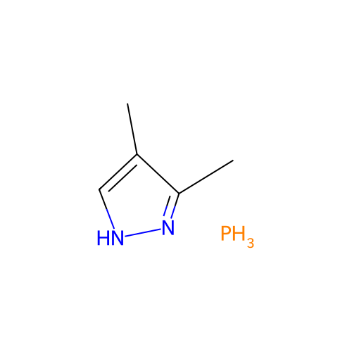 Cc1c[nH]nc1C.P